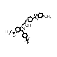 CC(=O)N1CCc2c(c(-c3ccc(C(F)(F)F)cc3)nn2CC(O)CN2CCC(c3nc4cc(C)ccc4o3)CC2)C1